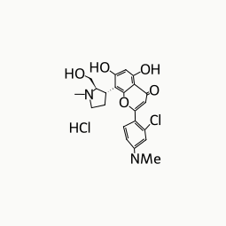 CNc1ccc(-c2cc(=O)c3c(O)cc(O)c([C@@H]4CCN(C)[C@H]4CO)c3o2)c(Cl)c1.Cl